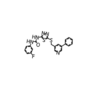 O=C(Nc1cccc(F)c1)Nc1nnc(SCc2cncc(-c3ccccc3)c2)s1